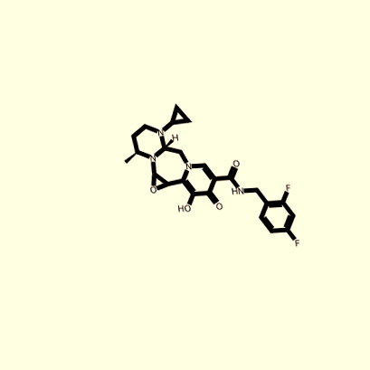 C[C@H]1CCN(C2CC2)[C@@H]2Cn3cc(C(=O)NCc4ccc(F)cc4F)c(=O)c(O)c3C3OC3N12